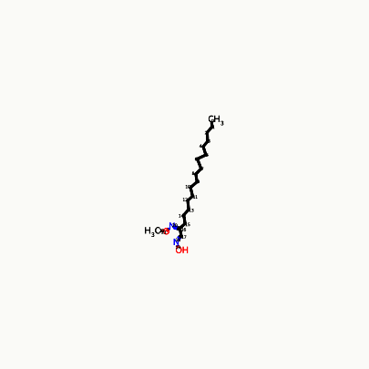 CCCCCCCCCCCCCCCCC(C=NO)=NOC